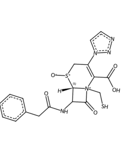 O=C(Cc1ccccc1)NC1C(=O)[N+]2(CS)C(C(=O)O)=C(n3ccnn3)C[S+]([O-])[C@@H]12